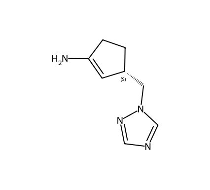 NC1=C[C@@H](Cn2cncn2)CC1